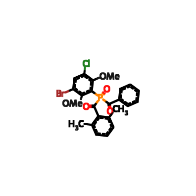 COc1c(Cl)cc(Br)c(OC)c1P(=O)(C(=O)c1ccccc1)C(=O)c1c(C)cccc1C